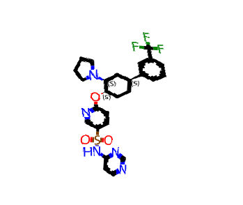 O=S(=O)(Nc1ccncn1)c1ccc(O[C@H]2CC[C@H](c3cccc(C(F)(F)F)c3)C[C@@H]2N2CCCC2)nc1